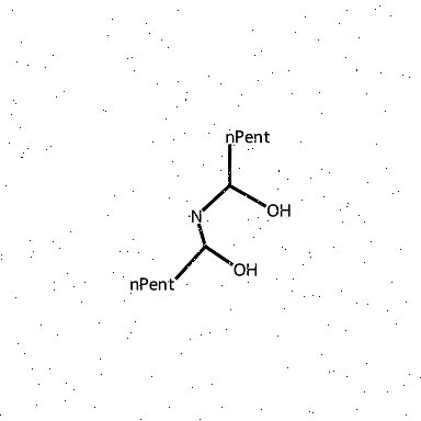 CCCCCC(O)[N]C(O)CCCCC